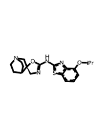 CC(C)Oc1cccc2sc(NC3=NC[C@@]4(CN5CCC4CC5)O3)nc12